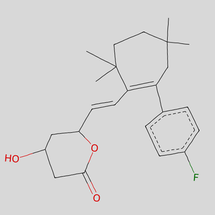 CC1(C)CCC(C)(C)C(C=CC2CC(O)CC(=O)O2)=C(c2ccc(F)cc2)C1